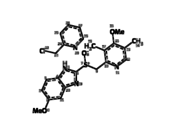 COc1ccc2[nH]c([S+]([O-])Cc3ncc(C)c(OC)c3C)nc2c1.ClCc1ccccn1